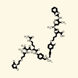 Cc1cc(N(C)c2nc(C(=O)O)c(CCCOc3ccc(C#CC[N+](C)(C)Cc4ccc(NC(=O)[C@H](CCCNC(N)=O)NC(=O)[C@@H](NC(=O)CCOCCN5C(=O)C=CC5=O)C(C)C)cc4)cc3F)s2)nnc1Nc1nc2ccccc2s1